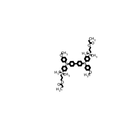 C=CC(=O)OCCC[Si](C)(C)c1ccc(N(c2ccc(OC)cc2)c2ccc(-c3ccc(N(c4ccc(OC)cc4)c4ccc([Si](C)(C)CCCOC(=O)C=C)cc4)cc3)cc2)cc1